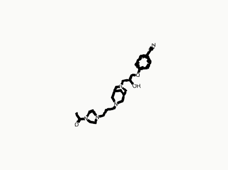 CC(=O)N1CCN(CCCN2CC3CC(C2)CN(CC(O)COc2ccc(C#N)cc2)C3)CC1